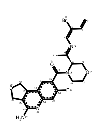 C=C/C(Br)=C\N=C(/F)[C@H]1COCCN1C(=O)c1cc2c3c(c(N)nc2cc1F)COC3